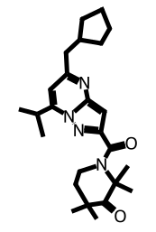 CC(C)c1cc(CC2CCCC2)nc2cc(C(=O)N3CCC(C)(C)C(=O)C3(C)C)nn12